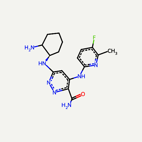 Cc1nc(Nc2cc(N[C@@H]3CCCCC3N)nnc2C(N)=O)ccc1F